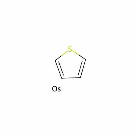 [Os].c1ccsc1